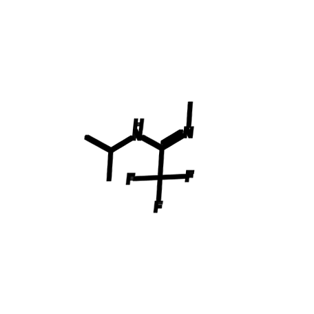 CN=C(NC(C)C)C(F)(F)F